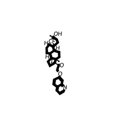 C[C@@]1(O)CC[C@@]2(F)[C@H](CC[C@H]3[C@@H]4CC[C@H](C(=O)COc5ccc6cccnc6c5)[C@@]4(C)CC[C@@H]32)C1